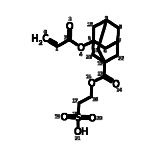 C=CC(=O)OC12CC3CC(C1)CC(C(=O)OCCS(=O)(=O)O)(C3)C2